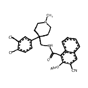 COc1c(C#N)cc2ccccc2c1C(=O)NCC1(c2ccc(Cl)c(Cl)c2)CCN(C)CC1